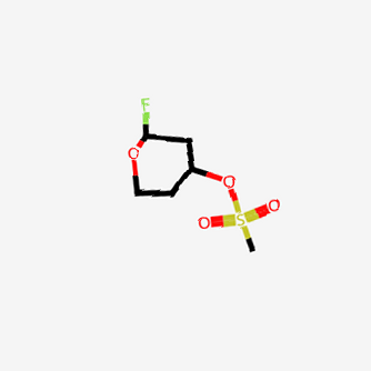 CS(=O)(=O)OC1CCOC(F)C1